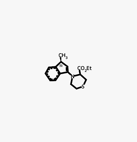 CCOC(=O)C1CSCCN1C1=C[C@H](C)c2ccccc21